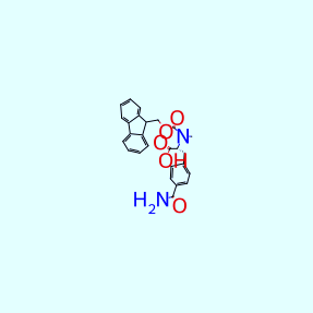 CN(C(=O)OCC1c2ccccc2-c2ccccc21)[C@H](Cc1ccc(C(N)=O)cc1)C(=O)O